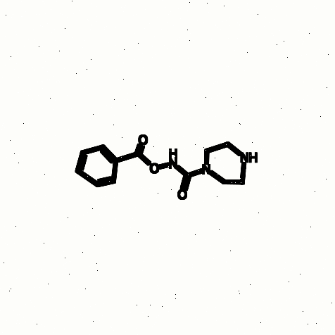 O=C(ONC(=O)N1CCNCC1)c1ccccc1